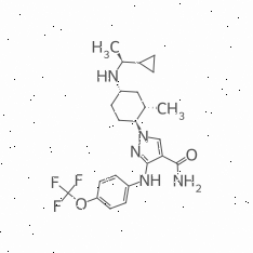 C[C@H](N[C@H]1CC[C@H](n2cc(C(N)=O)c(Nc3ccc(OC(F)(F)F)cc3)n2)[C@@H](C)C1)C1CC1